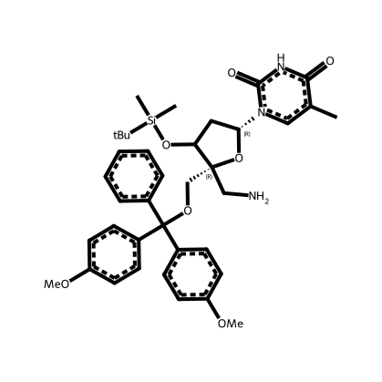 COc1ccc(C(OC[C@@]2(CN)O[C@@H](n3cc(C)c(=O)[nH]c3=O)CC2O[Si](C)(C)C(C)(C)C)(c2ccccc2)c2ccc(OC)cc2)cc1